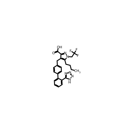 CCCCc1c(Cc2ccc(-c3ccccc3-c3nnn[nH]3)cc2)c(C(=O)O)nn1CC(F)(F)F